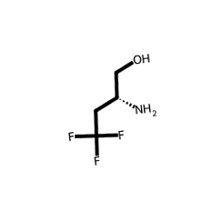 N[C@@H](CO)CC(F)(F)F